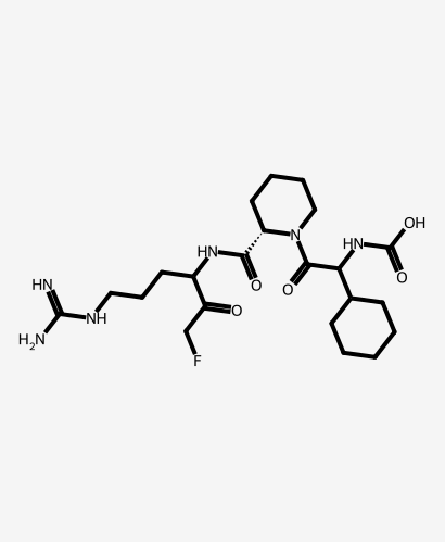 N=C(N)NCCCC(NC(=O)[C@@H]1CCCCN1C(=O)C(NC(=O)O)C1CCCCC1)C(=O)CF